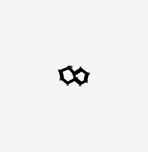 [c]1ccc2c(c1)SC=CC2